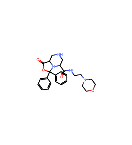 O=C(NCCN1CCOCC1)C1CNCC2C(=O)OC(c3ccccc3)(c3ccccc3)N12